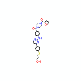 O=C(c1ccc(Nc2nccc(-c3ccc(SCCCO)cc3)n2)cc1)N1CCN(C(=O)c2ccco2)CC1